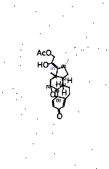 CC(=O)OC/C(O)=C1\[C@H](C)C[C@H]2[C@@H]3CCC4=CC(=O)C=C[C@]4(C)[C@@]34O[C@H]4C[C@]12C